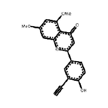 C#Cc1cc(-c2cc(=O)c3c(OC)cc(OC)cc3o2)ccc1O